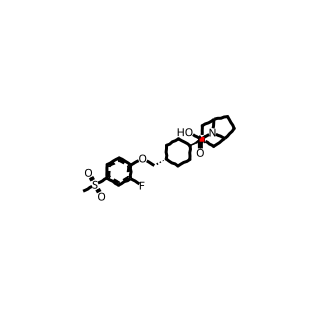 CS(=O)(=O)c1ccc(OC[C@H]2CC[C@H](N3CC4CCC(C3)N4C(=O)O)CC2)c(F)c1